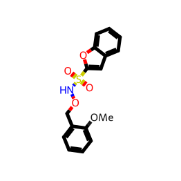 COc1ccccc1CONS(=O)(=O)c1cc2ccccc2o1